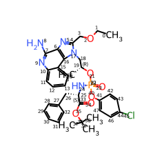 CCOCc1nc2c(N)nc3ccccc3c2n1C[C@@H](C)O[P@@](=O)(N[C@@H](Cc1ccccc1)C(=O)OC(C)(C)C)Oc1ccc(Cl)cc1